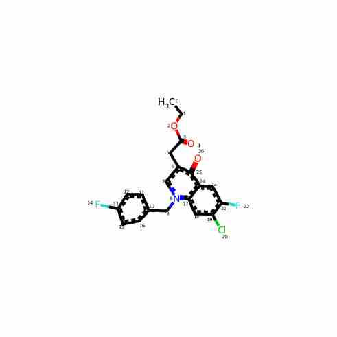 CCOC(=O)Cc1cn(Cc2ccc(F)cc2)c2cc(Cl)c(F)cc2c1=O